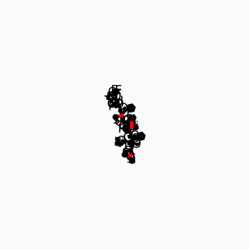 C=C(OS(=O)(=O)C(F)(F)F)[C@H](C)C[C@H]1CC[C@@H]2O[C@@H](CCC(C=C[C@H](O[Si](C)(C)C(C)(C)C)[C@@H]3O[C@H]4CC[C@H](CC(=O)C([C@@H]5[C@@H](OC)[C@@H](C[C@@H](CO[Si](C)(C)C(C)(C)C)O[Si](C)(C)C(C)(C)C)O[C@H]5CCO[Si](CC)(CC)CC)S(=O)(=O)c5ccccc5)O[C@@H]4[C@H](O[Si](C)(C)C(C)(C)C)[C@@H]3O[Si](C)(C)C(C)(C)C)OC(=O)c3ccccc3)C[C@]2(CI)O1